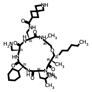 CCCCCC[C@H]1OC[C@@H](C)NC(=O)[C@H](CNC(=O)C2CC3(CNC3)C2)NC(=O)[C@H](CN)NC(=O)[C@H](C2CCCCC2)NC(=O)[C@H](CC(C)C)N(C)C(=O)[C@@H]1C